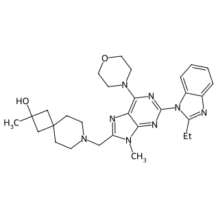 CCc1nc2ccccc2n1-c1nc(N2CCOCC2)c2nc(CN3CCC4(CC3)CC(C)(O)C4)n(C)c2n1